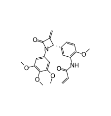 C=CC(=O)Nc1cc([C@H]2C(=C)C(=O)N2c2cc(OC)c(OC)c(OC)c2)ccc1OC